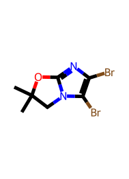 CC1(C)Cn2c(nc(Br)c2Br)O1